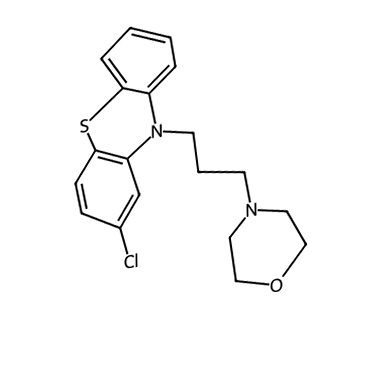 Clc1ccc2c(c1)N(CCCN1CCOCC1)c1ccccc1S2